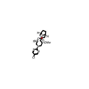 CO[C@@H]1CN(c2ncc(Cl)cn2)CC[C@@H]1[C@@H]1C[C@H]2CC[C@@H](C1)N2C(=O)OC(C)(C)C